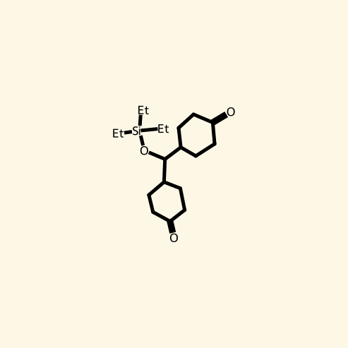 CC[Si](CC)(CC)OC(C1CCC(=O)CC1)C1CCC(=O)CC1